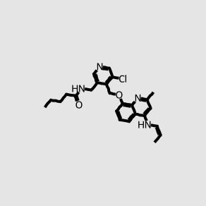 C/C=C\Nc1cc(C)nc2c(OCc3c(Cl)cncc3CNC(=O)CCCC)cccc12